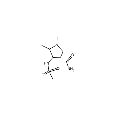 CC1C(NS(C)(=O)=O)CCN1C.NC=O